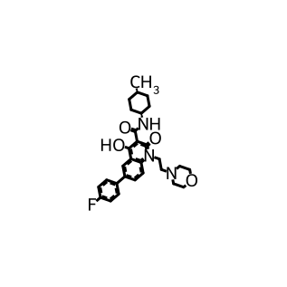 C[C@H]1CC[C@@H](NC(=O)c2c(O)c3cc(-c4ccc(F)cc4)ccc3n(CCN3CCOCC3)c2=O)CC1